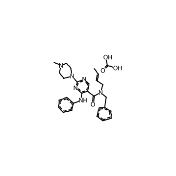 C/C=C/CN(Cc1ccccc1)C(=O)c1cnc(N2CCN(C)CC2)nc1Nc1ccccc1.O=C(O)O